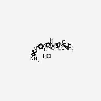 CC(C)(N)C(=O)N1CCN(C(=O)Nc2ccn(-c3ccc(CN4CC5(CC(N)C5)C4)cc3)c(=O)n2)CC1.Cl